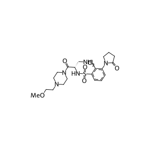 COCCN1CCN(C(=O)[C@H](CN)NS(=O)(=O)c2cccc(N3CCCC3=O)c2Cl)CC1